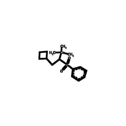 [CH3][Ge]([CH3])([CH3])[CH](CC1CCC1)S(=O)(=O)c1ccccc1